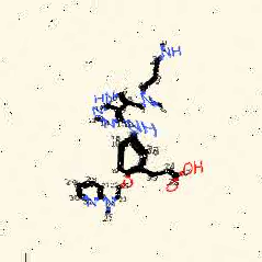 CNCCCN(C)Cc1c[nH]c2ncnc(Nc3ccc(OCCN(C)c4ccccn4)c(CCC(=O)O)c3)c12